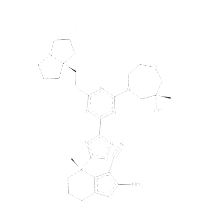 C[C@]1(O)COCCN(c2nc(OC[C@@]34CCCN3C[C@H](F)C4)nc(-c3noc([C@@]4(C)CCCc5sc(N)c(C#N)c54)n3)n2)C1